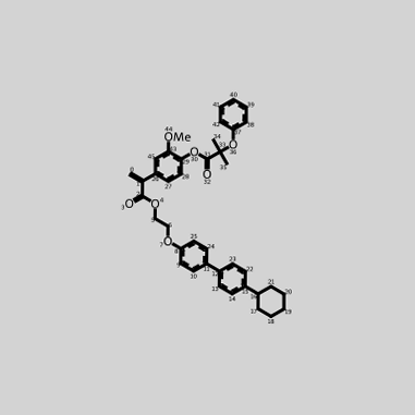 C=C(C(=O)OCCOc1ccc(-c2ccc(C3CCCCC3)cc2)cc1)c1ccc(OC(=O)C(C)(C)Oc2ccccc2)c(OC)c1